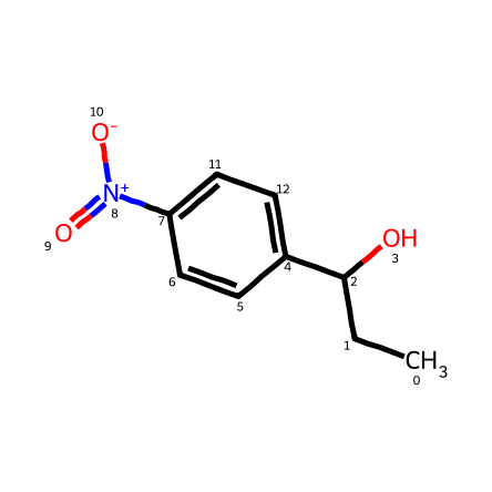 CCC(O)c1ccc([N+](=O)[O-])cc1